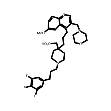 COc1ccc2ncc(CN3CCOCC3)c(CCCC3(CC(=O)O)CCN(CCCc4cc(F)c(F)c(F)c4)CC3)c2c1